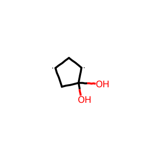 OC1(O)[CH]C[CH]C1